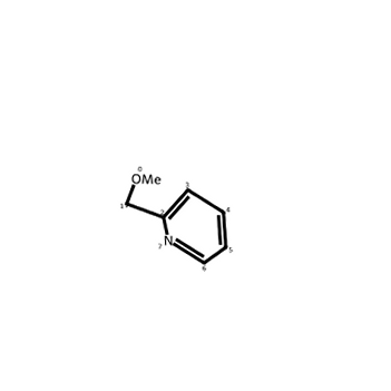 CO[CH]c1ccccn1